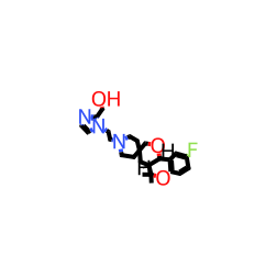 CC1(C)Oc2ccc(F)cc2[C@H]2OCC3(CCN(CCn4ccnc4CO)CC3)C[C@@H]21